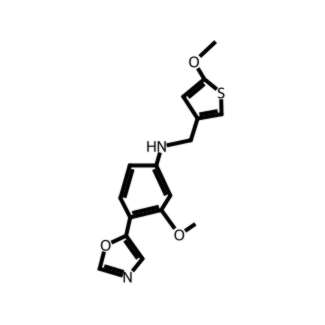 COc1cc(CNc2ccc(-c3cnco3)c(OC)c2)cs1